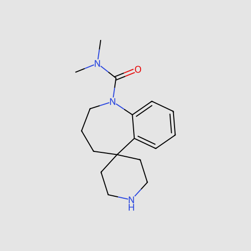 CN(C)C(=O)N1CCCC2(CCNCC2)c2ccccc21